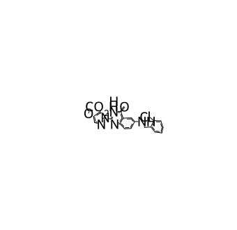 O=C(O)Oc1cnn(-c2nc3ccc(NCc4ccccc4Cl)cc3c(=O)[nH]2)c1